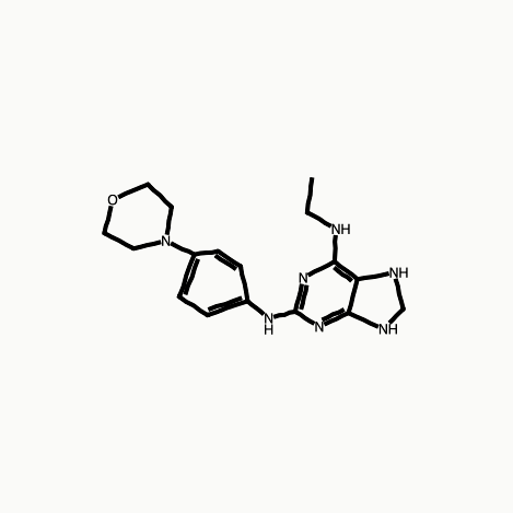 CCNc1nc(Nc2ccc(N3CCOCC3)cc2)nc2c1NCN2